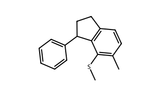 CSc1c(C)ccc2c1C(c1ccccc1)CC2